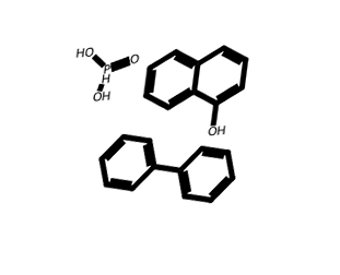 O=[PH](O)O.Oc1cccc2ccccc12.c1ccc(-c2ccccc2)cc1